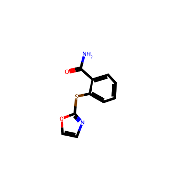 NC(=O)c1ccccc1Sc1ncco1